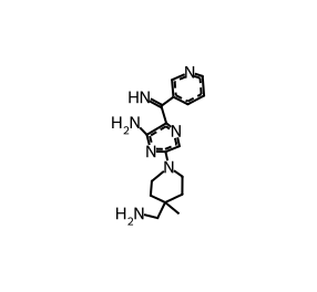 CC1(CN)CCN(c2cnc(C(=N)c3cccnc3)c(N)n2)CC1